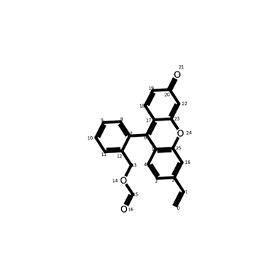 C=Cc1ccc2c(-c3ccccc3COC=O)c3ccc(=O)cc-3oc2c1